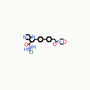 O=C(NNCl)c1cc(-c2ccc(-c3ccc(CC(=O)N4CCOCC4)cc3)cc2)nc2ccncc12